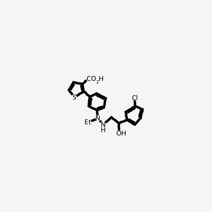 CCN(NCC(O)c1cccc(Cl)c1)c1cccc(-c2sccc2C(=O)O)c1